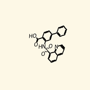 O=C(O)c1ccc(-c2ccccc2)cc1NS(=O)(=O)c1cccc2cc#cnc12